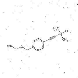 CC(C)(C)COCc1ccc(C#C[Si](C)(C)C)cc1